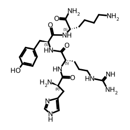 N=C(N)NCCC[C@H](NC(=O)[C@H](N)Cc1c[nH]cn1)C(=O)N[C@@H](Cc1ccc(O)cc1)C(=O)N[C@@H](CCCCN)C(N)=O